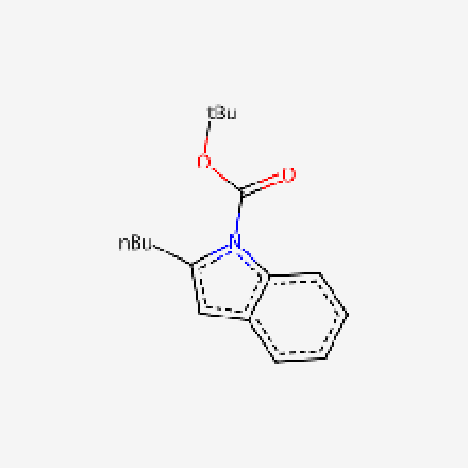 CCCCc1cc2ccccc2n1C(=O)OC(C)(C)C